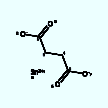 O=C([O-])CCC(=O)[O-].[Sn+2]